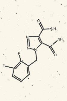 NC(=O)c1nnn(Cc2cccc(F)c2F)c1C(N)=O